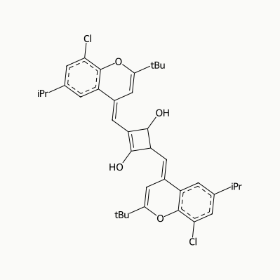 CC(C)c1cc(Cl)c2c(c1)/C(=C/C1=C(O)C(/C=C3\C=C(C(C)(C)C)Oc4c(Cl)cc(C(C)C)cc43)C1O)C=C(C(C)(C)C)O2